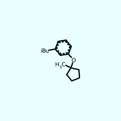 CCC(C)c1cccc(OC2(C)CCCC2)c1